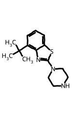 CC(C)(C)c1cccc2sc(N3CCNCC3)nc12